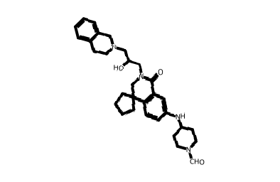 O=CN1CCC(Nc2ccc3c(c2)C(=O)N(CC(O)CN2CCc4ccccc4C2)CC32CCCC2)CC1